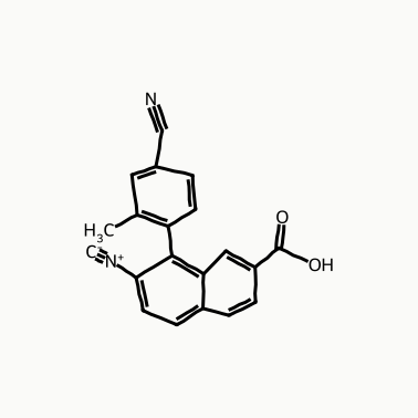 [C-]#[N+]c1ccc2ccc(C(=O)O)cc2c1-c1ccc(C#N)cc1C